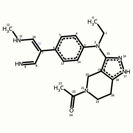 CCN(c1ccc(/C(C=N)=C/NC)cc1)c1n[nH]c2c1CN(C(C)=O)CC2